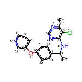 CCc1ncnc(NC(CC)c2ccc(Oc3cccnc3)cc2)c1Cl